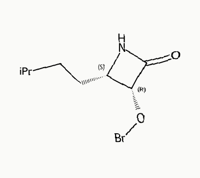 CC(C)CC[C@@H]1NC(=O)[C@@H]1OBr